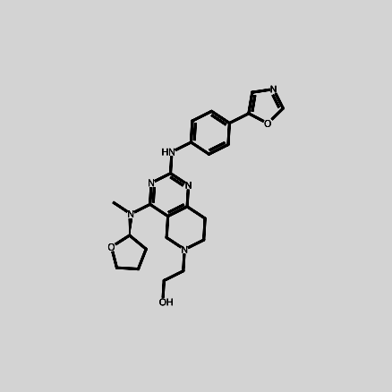 CN(c1nc(Nc2ccc(-c3cnco3)cc2)nc2c1CN(CCO)CC2)[C@H]1CCCO1